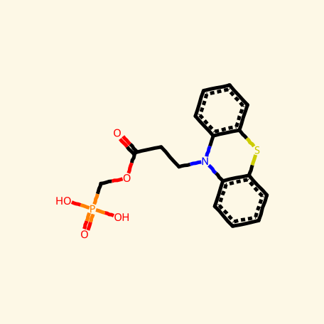 O=C(CCN1c2ccccc2Sc2ccccc21)OCP(=O)(O)O